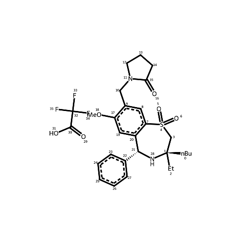 CCCC[C@]1(CC)CS(=O)(=O)c2cc(CN3CCCC3=O)c(OC)cc2[C@@H](c2ccccc2)N1.O=C(O)C(F)(F)F